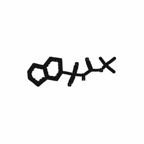 CC(C)(C)OC(=O)NS(=O)(=O)c1ccc2ccccc2c1